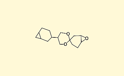 C1CC2CC2CC1C1COC2(CCC3OC3C2)OC1